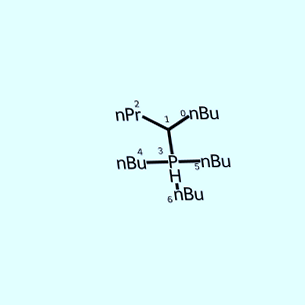 CCCCC(CCC)[PH](CCCC)(CCCC)CCCC